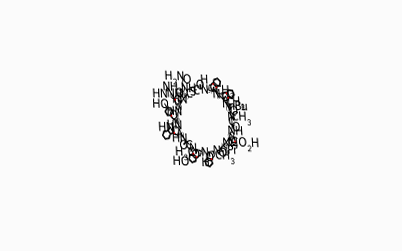 CCCC[C@H]1C(=O)N(C)CC(=O)N[C@@H](CC(=O)O)C(=O)N[C@@H](C(C)C)C(=O)N(C)C(Cc2ccccc2)C(=O)N[C@@H](Cc2ccc(O)cc2)C(=O)N(C)CC(=O)N[C@@H](Cc2c[nH]c3ccccc23)C(=O)N[C@@H](Cc2ccc(O)cc2)C(=O)N[C@@H](CCCNC(=N)N)C(=O)N[C@H](C(=O)NCC(N)=O)CSCC(=O)N[C@@H](Cc2ccccc2)C(=O)N(C)[C@@H](Cc2ccccc2)C(=O)N1C